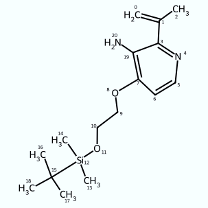 C=C(C)c1nccc(OCCO[Si](C)(C)C(C)(C)C)c1N